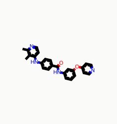 Cc1nccc(Nc2ccc(C(=O)Nc3cccc(Oc4ccncc4)c3)cc2)c1C